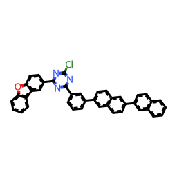 Clc1nc(-c2cccc(-c3ccc4cc(-c5ccc6ccccc6c5)ccc4c3)c2)nc(-c2ccc3oc4ccccc4c3c2)n1